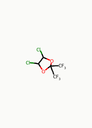 FC(F)(F)C1(C(F)(F)F)OC(Cl)C(Cl)O1